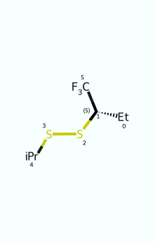 CC[C@H](SSC(C)C)C(F)(F)F